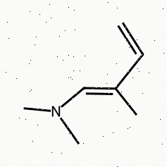 C=CC(C)=CN(C)C